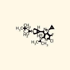 CC(C)Nc1nc(Cl)c(F)c2c1c(C1[C@H]3CN(C(=O)OC(C)(C)C)C[C@@H]13)nn2C1CC1